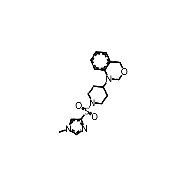 Cn1cnc(S(=O)(=O)N2CCC(N3COCc4ccccc43)CC2)c1